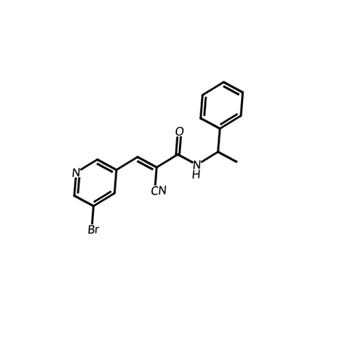 CC(NC(=O)/C(C#N)=C/c1cncc(Br)c1)c1ccccc1